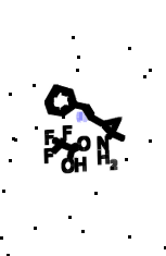 CC1(N)CC1/C=C/c1ccccc1.O=C(O)C(F)(F)F